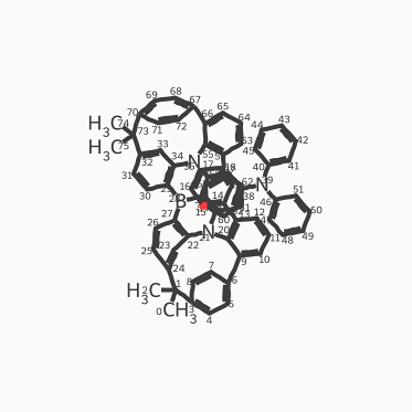 CC1(C)c2ccc(cc2)-c2cccc(-c3ccccc3)c2N2c3cc1ccc3B1c3ccc4cc3N(c3cc(N(c5ccccc5)c5ccccc5)cc2c31)c1c(-c2ccccc2)cccc1-c1ccc(cc1)C4(C)C